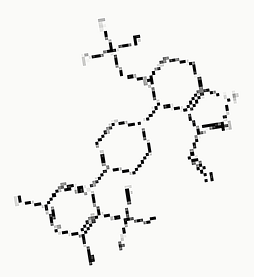 O=Cc1n[nH]c2c1C(N1CCC(c3cc(F)cc(F)c3C(F)(F)F)CC1)N(CC(F)(F)F)CC2